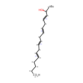 CCCCC(O)/C=C/C/C=C/C/C=C/C/C=C/CCCC(=O)O